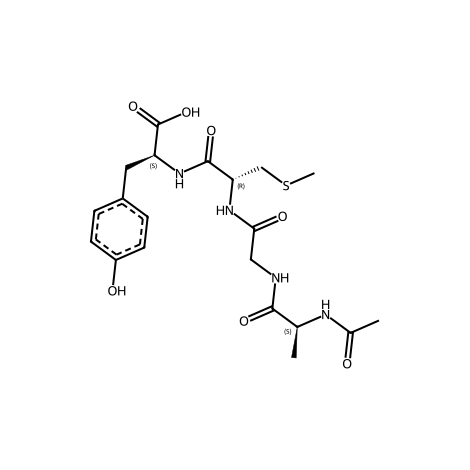 CSC[C@H](NC(=O)CNC(=O)[C@H](C)NC(C)=O)C(=O)N[C@@H](Cc1ccc(O)cc1)C(=O)O